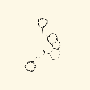 O=C(OCc1ccccc1)C1CCCc2[nH]c3ccc(Cc4ccccc4)cc3c21